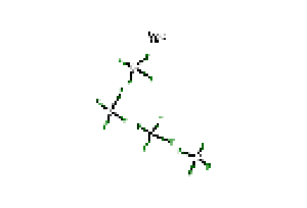 F[B-](F)(F)F.F[B-](F)(F)F.F[B-](F)(F)F.F[B-](F)(F)F.[Cu+2].[Cu+2]